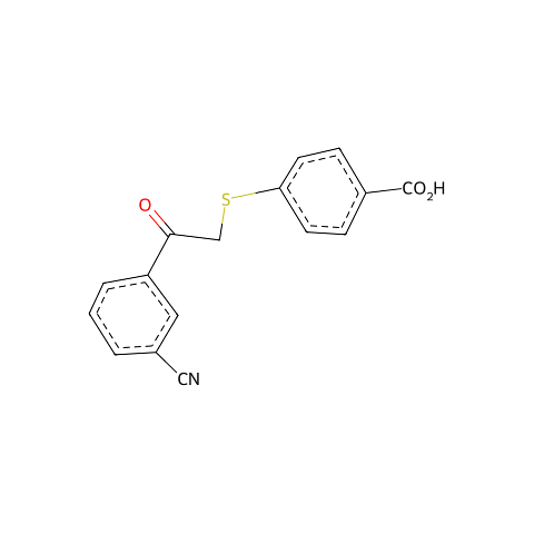 N#Cc1cccc(C(=O)CSc2ccc(C(=O)O)cc2)c1